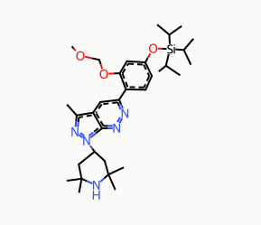 COCOc1cc(O[Si](C(C)C)(C(C)C)C(C)C)ccc1-c1cc2c(C)nn(C3CC(C)(C)NC(C)(C)C3)c2nn1